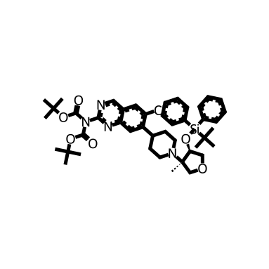 CC(C)(C)OC(=O)N(C(=O)OC(C)(C)C)c1ncc2cc(Cl)c(C3CCN([C@]4(C)COC[C@@H]4O[Si](c4ccccc4)(c4ccccc4)C(C)(C)C)CC3)cc2n1